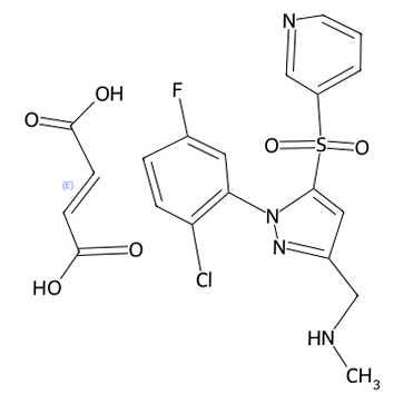 CNCc1cc(S(=O)(=O)c2cccnc2)n(-c2cc(F)ccc2Cl)n1.O=C(O)/C=C/C(=O)O